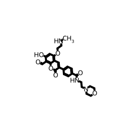 CNCCOc1cc(O)c(C=O)c2oc(=O)c(-c3ccc(C(=O)NCCN4CCOCC4)cc3)cc12